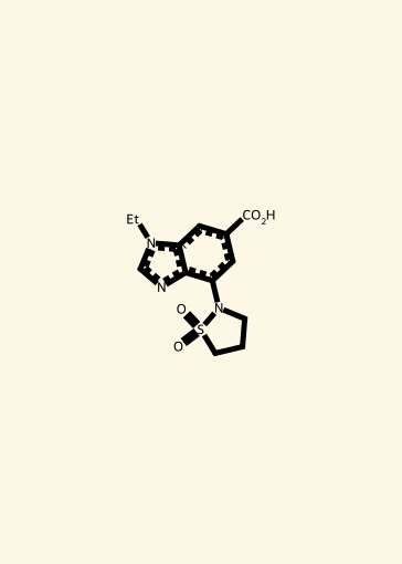 CCn1cnc2c(N3CCCS3(=O)=O)cc(C(=O)O)cc21